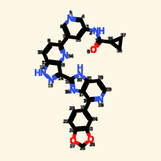 O=C(Nc1cncc(-c2ccc3[nH]nc(-c4nc5c(-c6ccc7c(c6)OCO7)nccc5[nH]4)c3n2)c1)C1CC1